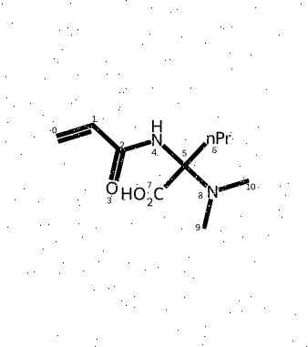 C=CC(=O)NC(CCC)(C(=O)O)N(C)C